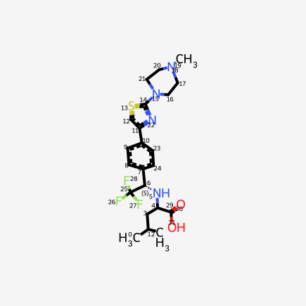 CC(C)CC(N[C@@H](c1ccc(-c2csc(N3CCN(C)CC3)n2)cc1)C(F)(F)F)C(=O)O